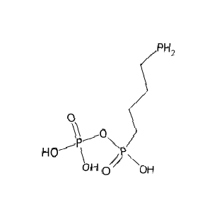 O=P(O)(O)OP(=O)(O)CCCCP